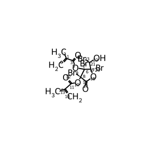 C=C(C)C(=O)O[C@]1(Br)[C@@](Br)(OC(=O)C(=C)C)C(=O)O[C@]1(Br)C(O)Br